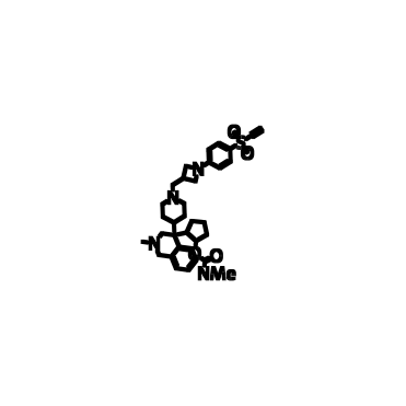 C#CS(=O)(=O)c1ccc(N2CC(CN3CCC(C4(C5CCCC5OC(=O)NC)CN(C)Cc5ccccc54)CC3)C2)cc1